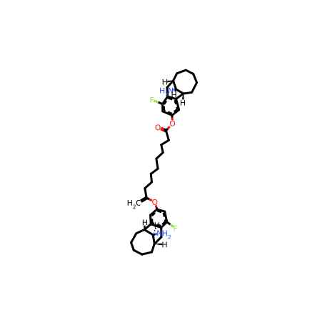 C=C(CCCCCCCCC(=O)Oc1cc(F)c2c(c1)[C@H]1CCCCC[C@@H](C2)[C@@H]1N)Oc1cc(F)c2c(c1)[C@H]1CCCCC[C@@H](C2)[C@@H]1N